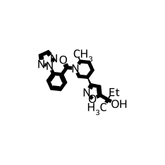 CC[C@@](C)(O)c1cc([C@@H]2CC[C@@H](C)N(C(=O)c3ccccc3-n3nccn3)C2)no1